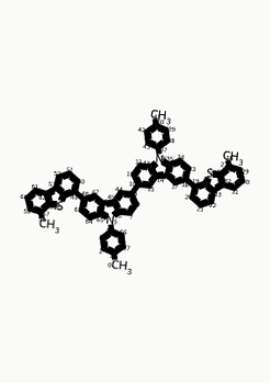 Cc1ccc(-n2c3ccc(-c4ccc5c(c4)c4cc(-c6cccc7c6sc6c(C)cccc67)ccc4n5-c4ccc(C)cc4)cc3c3cc(-c4cccc5c4sc4c(C)cccc45)ccc32)cc1